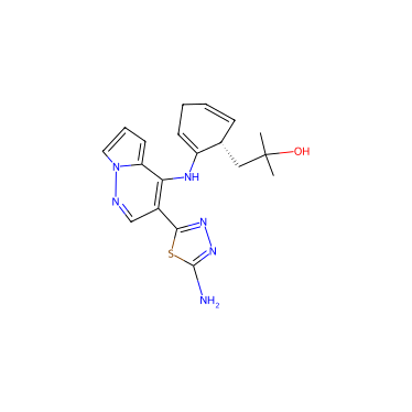 CC(C)(O)C[C@H]1C=CCC=C1Nc1c(-c2nnc(N)s2)cnn2cccc12